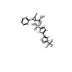 CC1[C@H](c2ccccc2)[C@]1(NS(=O)(=O)c1ccc(-c2cc(C(F)(F)F)no2)s1)C(=O)O